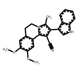 COc1cc2c(cc1OC)-c1c(C#N)c(-c3c[nH]c4ccccc34)c(C)n1CC2